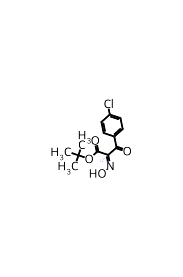 CC(C)(C)OC(=O)/C(=N\O)C(=O)c1ccc(Cl)cc1